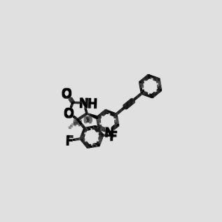 C[C@]1(c2cc(F)ccc2F)OC(=O)N[C@H]1c1cncc(C#Cc2ccccc2)c1